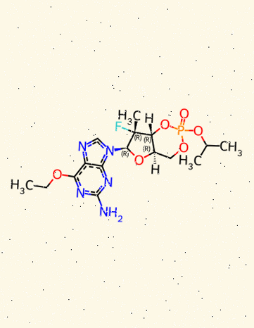 CCOc1nc(N)nc2c1ncn2[C@@H]1O[C@@H]2COP(=O)(OC(C)C)O[C@H]2[C@@]1(C)F